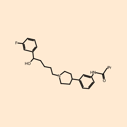 CC(C)C(=O)Nc1cccc(C2CCN(CCCCC(O)c3cccc(F)c3)CC2)c1